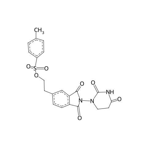 Cc1ccc(S(=O)(=O)OCCc2ccc3c(c2)C(=O)N(N2CCC(=O)NC2=O)C3=O)cc1